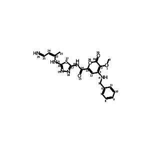 COc1c(NCc2ccccc2)cc(C(=O)Nc2nnc(N/C(C)=C\C=N)s2)oc1=O